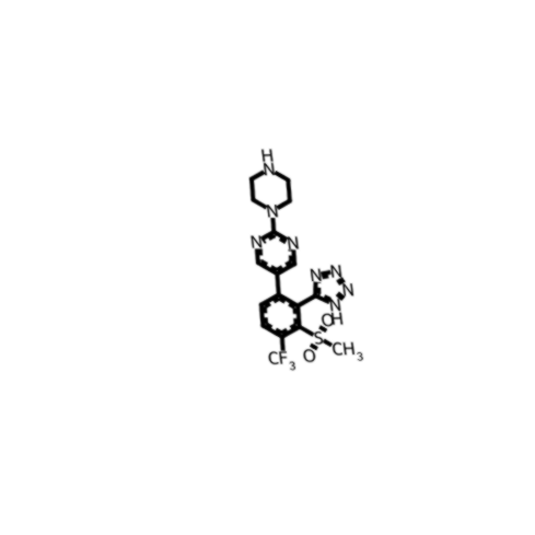 CS(=O)(=O)c1c(C(F)(F)F)ccc(-c2cnc(N3CCNCC3)nc2)c1-c1nnn[nH]1